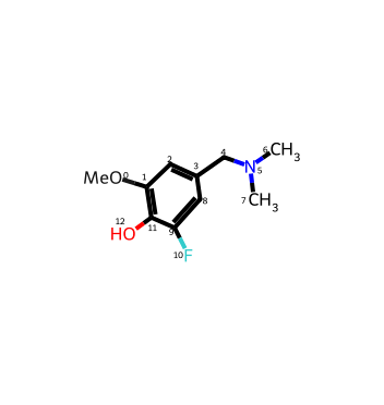 COc1cc(CN(C)C)cc(F)c1O